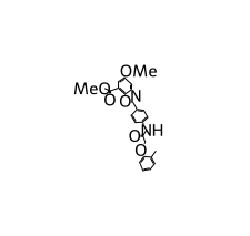 COC(=O)c1cc(OC)cc2nc(-c3ccc(NC(=O)COc4ccccc4C)cc3)oc12